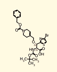 CC(C)(C)OC(=O)N[C@H](C(=O)O)[C@H](OCC1=CCN(C(=O)OCc2ccccc2)CC1)c1nc(Br)cs1